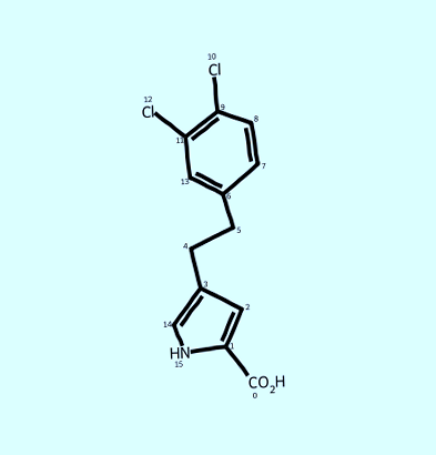 O=C(O)c1cc(CCc2ccc(Cl)c(Cl)c2)c[nH]1